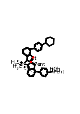 CCCC(C)C1=Cc2c(-c3ccc(C4CCCCC4)cc3)cccc2[CH]1[Zr]([CH3])([CH3])(=[SiH2])[CH]1C(CC)=Cc2c(-c3ccc(C(C)CCC)cc3)cccc21.Cl.Cl